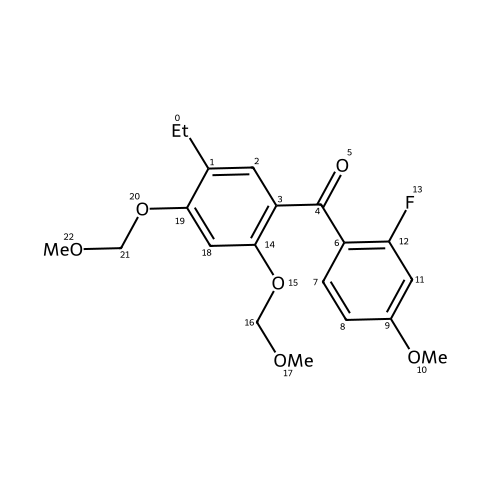 CCc1cc(C(=O)c2ccc(OC)cc2F)c(OCOC)cc1OCOC